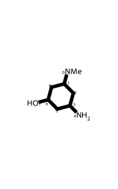 CNC1CC(N)CC(O)C1